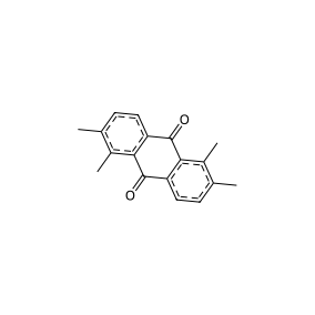 Cc1ccc2c(c1C)C(=O)c1ccc(C)c(C)c1C2=O